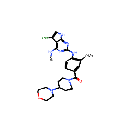 COc1cc(C(=O)N2CCC(N3CCOCC3)CC2)ccc1Nc1nc(NC(C)(C)C)c2c(Cl)c[nH]c2n1